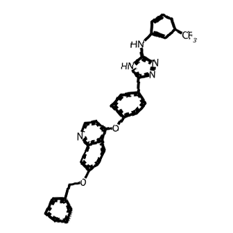 FC(F)(F)C1C=C(Nc2nnc(-c3ccc(Oc4ccnc5cc(OCc6ccccc6)ccc45)cc3)[nH]2)C=CC1